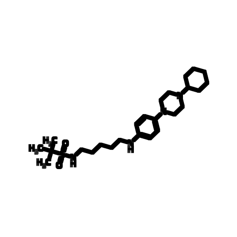 CC(C)(C)S(=O)(=O)NCCCCCNc1ccc(N2CCN(C3CCCCC3)CC2)cc1